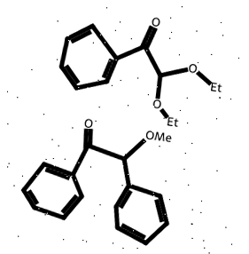 CCOC(OCC)C(=O)c1ccccc1.COC(C(=O)c1ccccc1)c1ccccc1